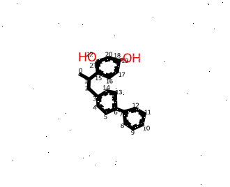 CC(Cc1ccc(-c2ccccc2)cc1)c1ccc(O)cc1O